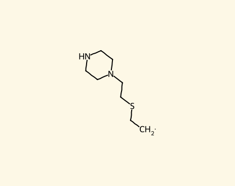 [CH2]CSCCN1CCNCC1